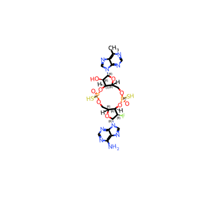 Cc1ncnc2c1ncn2[C@@H]1O[C@@H]2CO[P@@](=O)(S)O[C@H]3[C@@H](F)[C@H](n4cnc5c(N)ncnc54)O[C@@H]3CO[P@@](=O)(S)O[C@H]2[C@H]1O